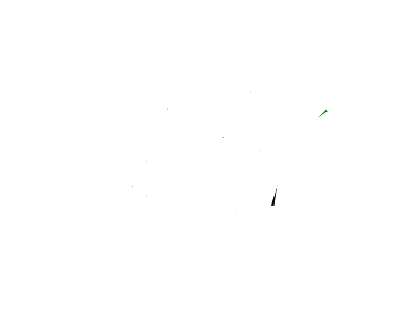 O=C(c1nc2n(n1)[C@H](c1ccccc1)C[C@@H]2F)N1CCc2cccnc2C1